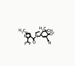 Cn1cc(C(=O)N2CC[C@]3(C=C(C#N)C(=O)C(C)(C)C3)C2)c(C(F)F)n1